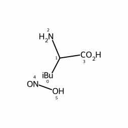 CCC(C)C(N)C(=O)O.O=NO